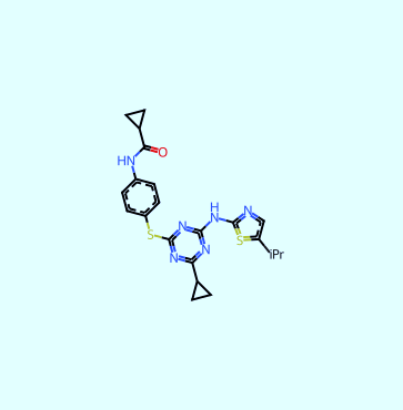 CC(C)c1cnc(Nc2nc(Sc3ccc(NC(=O)C4CC4)cc3)nc(C3CC3)n2)s1